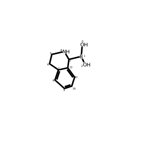 OB(O)C1NCCc2ccccc21